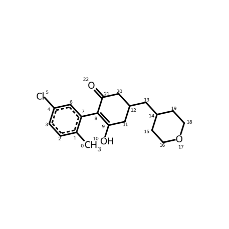 Cc1ccc(Cl)cc1C1=C(O)CC(CC2CCOCC2)CC1=O